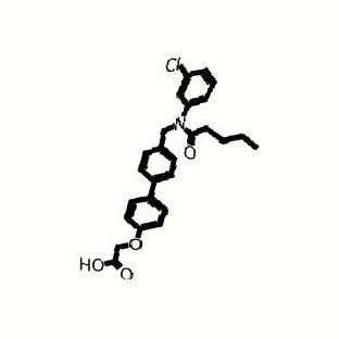 CCCCC(=O)N(Cc1ccc(-c2ccc(OCC(=O)O)cc2)cc1)c1cccc(Cl)c1